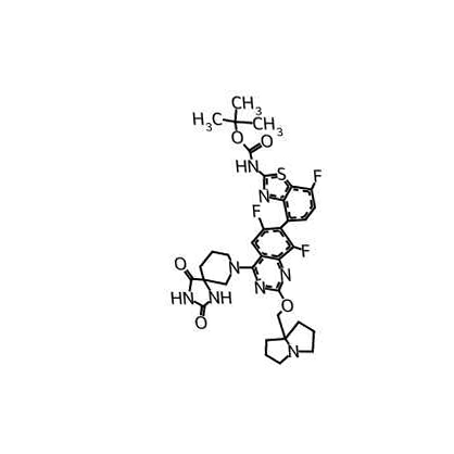 CC(C)(C)OC(=O)Nc1nc2c(-c3c(F)cc4c(N5CCCC6(C5)NC(=O)NC6=O)nc(OCC56CCCN5CCC6)nc4c3F)ccc(F)c2s1